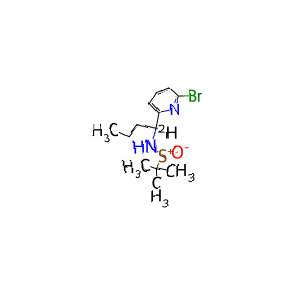 [2H][C@@](CCC)(N[S@+]([O-])C(C)(C)C)c1cccc(Br)n1